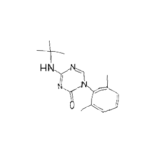 Cc1cccc(C)c1-n1cnc(NC(C)(C)C)nc1=O